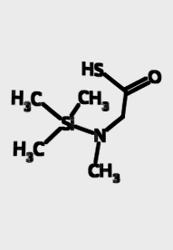 CN(CC(=O)S)[Si](C)(C)C